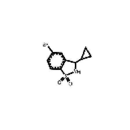 O=S1(=O)NC(C2CC2)c2cc(Br)ccc21